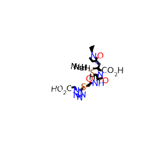 O=C(O)Cn1nnnc1SCC(=O)N[C@@H]1C(=O)N2C(C(=O)O)=C(/C=C3\CCN(C4CC4)C3=O)CS[C@H]12.[NaH].[NaH]